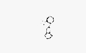 CS(=O)(=O)c1[c]cccc1-c1cc2ccccc2o1